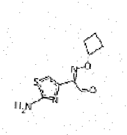 Nc1nc(/C([C]=O)=N/OC2CCC2)cs1